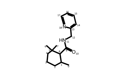 CC1CCCC(C)(C)C1C(=O)NCc1ccccn1